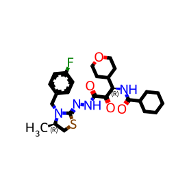 C[C@@H]1CSC(=NNC(=O)C(=O)[C@H](NC(=O)C2CCCCC2)C2CCOCC2)N1Cc1ccc(F)cc1